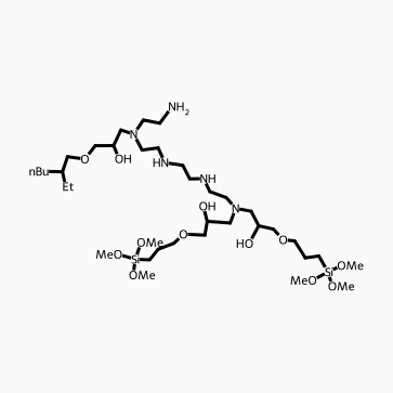 CCCCC(CC)COCC(O)CN(CCN)CCNCCNCCN(CC(O)COCCC[Si](OC)(OC)OC)CC(O)COCCC[Si](OC)(OC)OC